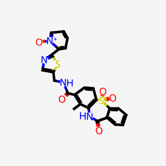 Cc1c(C(=O)NCc2cnc(-c3cccc[n+]3[O-])s2)ccc2c1NC(=O)c1ccccc1S2(=O)=O